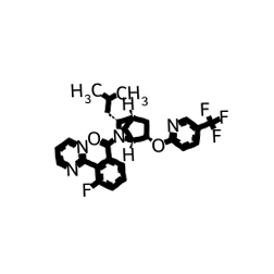 CC(C)C[C@@H]1[C@H]2C[C@@H](Oc3ccc(C(F)(F)F)cn3)[C@H](C2)N1C(=O)c1cccc(F)c1-c1ncccn1